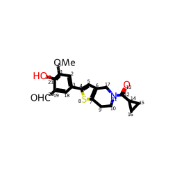 COc1cc(-c2cc3c(s2)CCN(C(=O)C2CC2)C3)cc(C=O)c1O